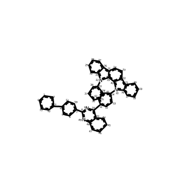 c1ccc(-c2ccc(-c3nc(-c4ccc(-n5c6ccccc6c6ccc7c8ccccc8n(-c8ccccc8)c7c65)cc4)c4ccccc4n3)cc2)cc1